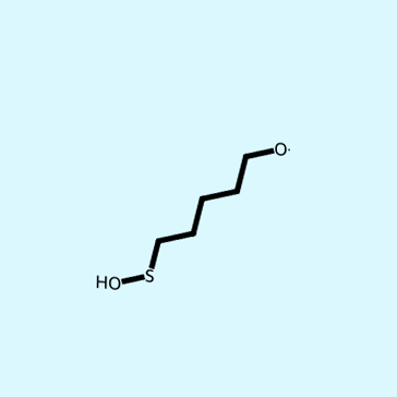 [O]CCCCCSO